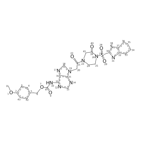 COc1ccc(COC(=O)Nc2ncnc3c2ncn3CC(=O)N2CCN(S(=O)(=O)c3nc4ccccc4s3)C(=O)C2)cc1